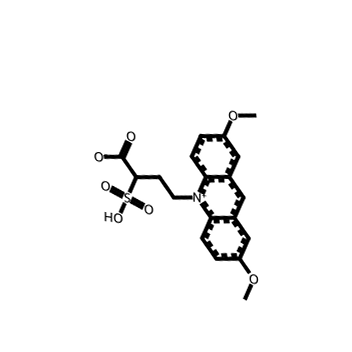 COc1ccc2c(c1)cc1cc(OC)ccc1[n+]2CCC(C(=O)[O-])S(=O)(=O)O